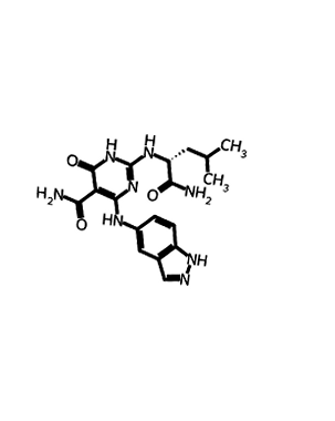 CC(C)C[C@@H](Nc1nc(Nc2ccc3[nH]ncc3c2)c(C(N)=O)c(=O)[nH]1)C(N)=O